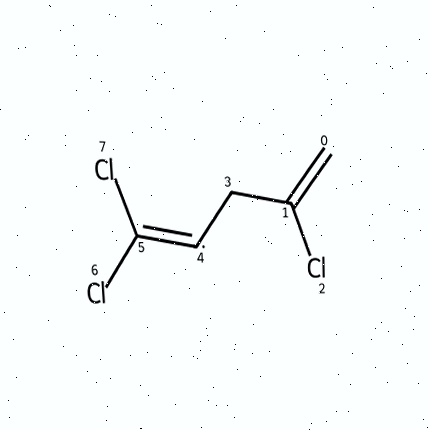 C=C(Cl)C[C]=C(Cl)Cl